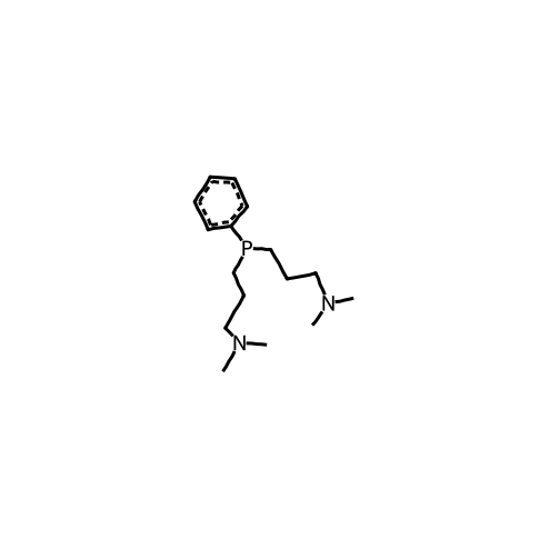 CN(C)CCCP(CCCN(C)C)c1ccccc1